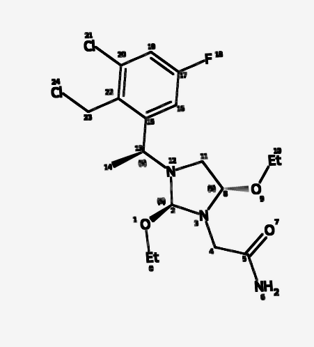 CCO[C@@H]1N(CC(N)=O)[C@@H](OCC)CN1[C@@H](C)c1cc(F)cc(Cl)c1CCl